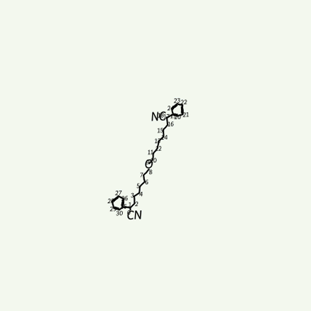 N#CC(CCCCCCCOCCCCCCCC(C#N)c1ccccc1)c1ccccc1